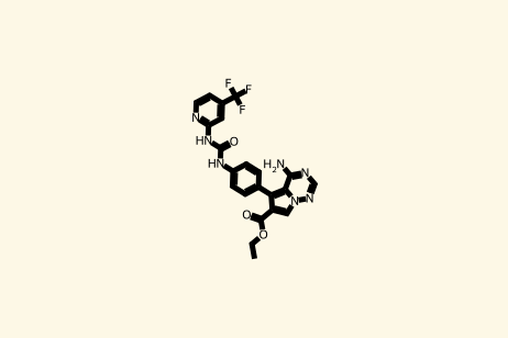 CCOC(=O)c1cn2ncnc(N)c2c1-c1ccc(NC(=O)Nc2cc(C(F)(F)F)ccn2)cc1